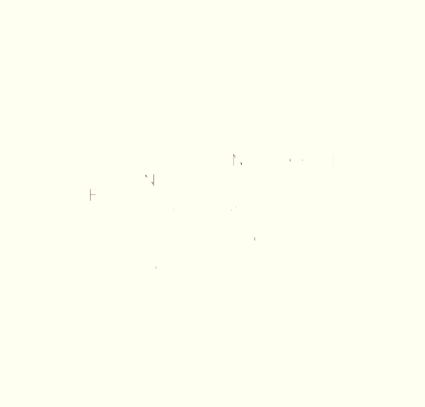 CCN1CCN(C(=O)O)C(=O)C1=O